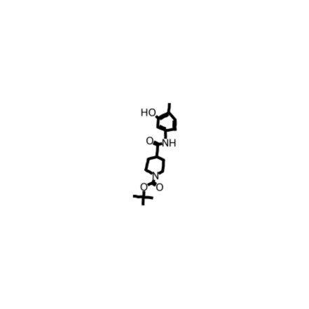 Cc1ccc(NC(=O)C2CCN(C(=O)OC(C)(C)C)CC2)cc1O